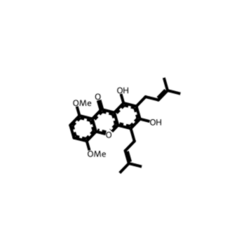 COc1ccc(OC)c2c(=O)c3c(O)c(CC=C(C)C)c(O)c(CC=C(C)C)c3oc12